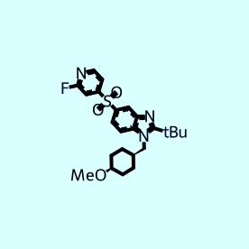 CO[C@H]1CC[C@@H](Cn2c(C(C)(C)C)nc3cc(S(=O)(=O)c4ccnc(F)c4)ccc32)CC1